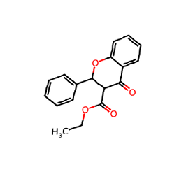 CCOC(=O)C1C(=O)c2ccccc2OC1c1ccccc1